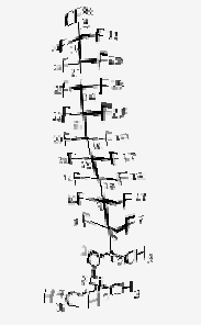 CC(O[SiH](C)C)C(F)(F)C(F)(F)C(F)(F)C(F)(F)C(F)(F)C(F)(F)C(F)(F)C(F)(F)C(F)(F)C(F)(F)F